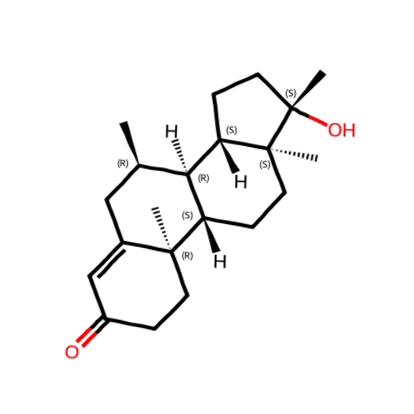 C[C@@H]1CC2=CC(=O)CC[C@]2(C)[C@H]2CC[C@@]3(C)[C@@H](CC[C@]3(C)O)[C@H]12